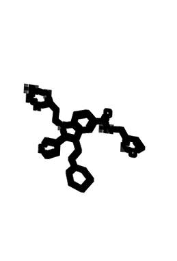 O=C(NCc1ccon1)c1ccc2c(c1)c(CCC1CCCCC1)c(-c1ccsc1)n2CCc1nn[nH]n1